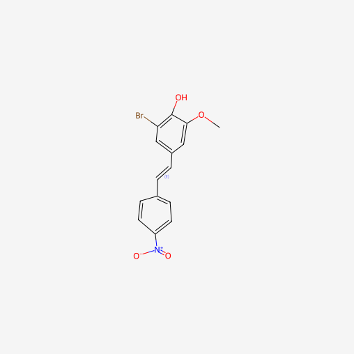 COc1cc(/C=C/c2ccc([N+](=O)[O-])cc2)cc(Br)c1O